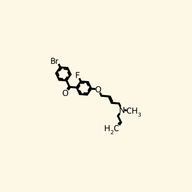 C=CCN(C)CC=CCOc1ccc(C(=O)c2ccc(Br)cc2)c(F)c1